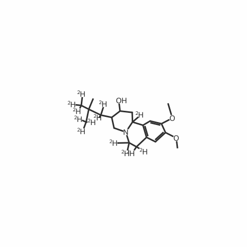 [2H]C12CC(O)C(C([2H])([2H])C(C)(C([2H])([2H])[2H])C([2H])([2H])[2H])CN1C([2H])([2H])C([2H])([2H])c1cc(OC)c(OC)cc12